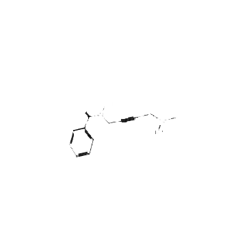 CCN(CC)CC#CCN(C=O)C(=O)c1ccccc1